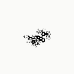 CCCCCC[Si](C)(C1C(C)=C(C)C(C)=C1C)C1C(C)=Cc2c1cc1c(c2-c2cc(C(C)(C)C)cc(C(C)(C)C)c2)CCC1